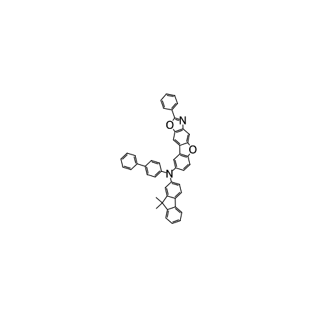 CC1(C)c2ccccc2-c2ccc(N(c3ccc(-c4ccccc4)cc3)c3ccc4oc5cc6nc(-c7ccccc7)oc6cc5c4c3)cc21